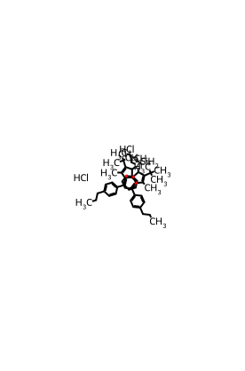 CCCc1ccc(-c2cccc3c2C(C)=C(C(C)(C)C)[CH]3[Zr]([CH3])(=[SiH2])([CH2]CC)[CH]2C(C(C)(C)C)=C(C)c3c(-c4ccc(CCC)cc4)cccc32)cc1.Cl.Cl